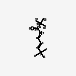 CC(C)(C)C=CC=N[S+]([O-])C(C)(C)C